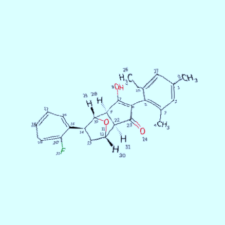 Cc1cc(C)c(C2=C(O)[C@@H]3[C@@H]4O[C@@H](C[C@H]4c4ccccc4F)[C@@H]3C2=O)c(C)c1